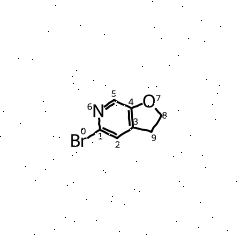 Brc1cc2c(cn1)OCC2